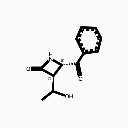 CC(O)[C@H]1C(=O)N[C@@H]1C(=O)c1ccccc1